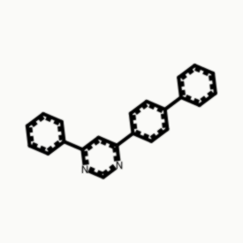 c1ccc(-c2ccc(-c3cc(-c4ccccc4)ncn3)cc2)cc1